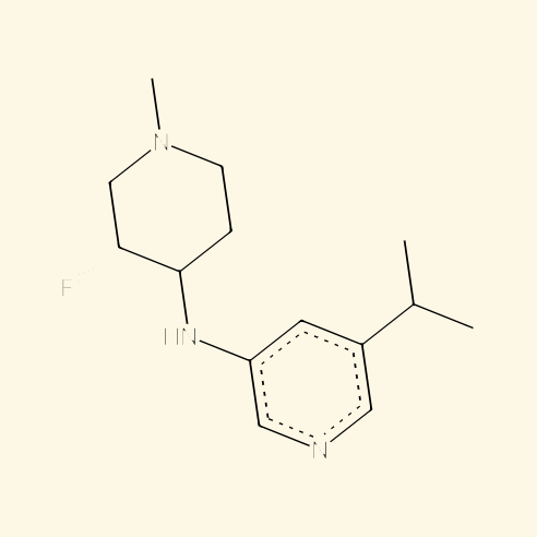 CC(C)c1cncc(NC2CCN(C)C[C@H]2F)c1